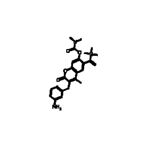 C=C(c1cc2c(C)c(Cc3cccc(N)c3)c(=O)oc2cc1OC(=O)N(C)C)[Si](C)(C)C